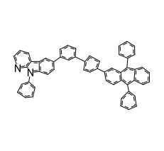 c1ccc(-c2c3ccccc3c(-c3ccccc3)c3cc(-c4ccc(-c5cccc(-c6ccc7c(c6)c6cccnc6n7-c6ccccc6)c5)cc4)ccc23)cc1